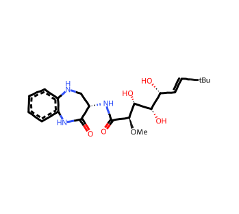 CO[C@@H](C(=O)N[C@H]1CNc2ccccc2NC1=O)[C@H](O)[C@@H](O)[C@H](O)/C=C/C(C)(C)C